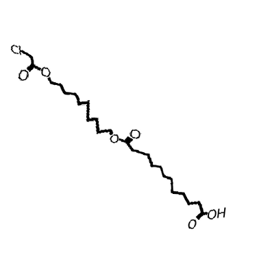 O=C(O)CCCCCCCCCCC(=O)OCCCCCCCCCCOC(=O)CCl